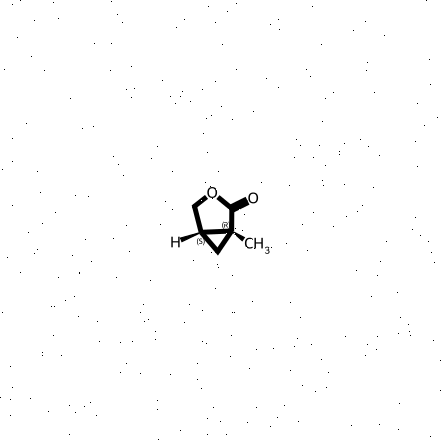 C[C@@]12C[C@@H]1COC2=O